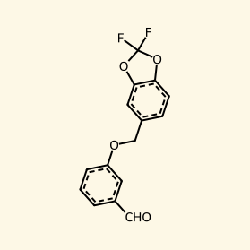 O=Cc1cccc(OCc2ccc3c(c2)OC(F)(F)O3)c1